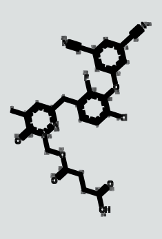 Cc1cc(Cc2ccc(Cl)c(Oc3cc(C#N)cc(C#N)c3)c2F)nn(COC(=O)CCC(=O)O)c1=O